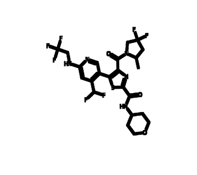 CC1CC(F)(F)CN1C(=O)c1nc(C(=O)NC2CCOCC2)sc1-c1cnc(NCC(F)(F)F)cc1C(F)F